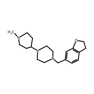 CN1CCC(N2CCN(Cc3ccc4c(c3)OCC4)CC2)CC1